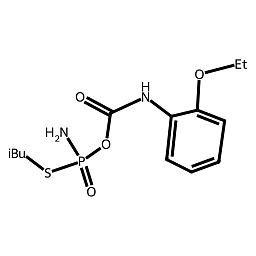 CCOc1ccccc1NC(=O)OP(N)(=O)SC(C)CC